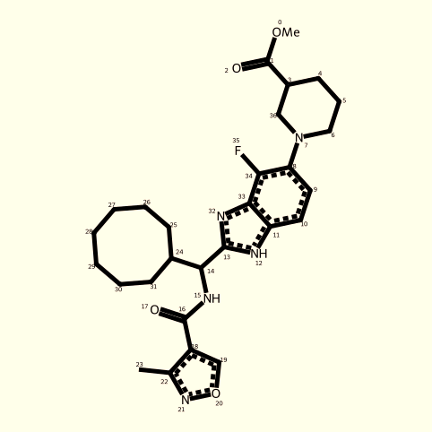 COC(=O)C1CCCN(c2ccc3[nH]c(C(NC(=O)c4conc4C)C4CCCCCCC4)nc3c2F)C1